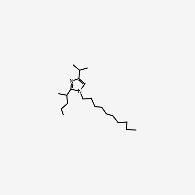 CCCCCCCCCCn1cc(C(C)C)nc1C(C)CCC